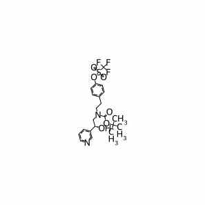 CC(C)(C)OC(=O)N(CCc1ccc(OS(=O)(=O)C(F)(F)F)cc1)C[C@@H](O)c1cccnc1